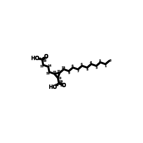 CCCCCCCCCCCC1C(CCCC(=O)O)C1C(=O)O